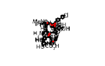 CN[C@H](CC(C)C)C(=O)N[C@H]1C(=O)N[C@@H](CCC(N)=O)C(=O)N[C@H]2CN[C@H]3C(=O)N[C@H](C(=O)N[C@H](C(=O)O)C4=CC(O)CC(O)=C4C4CC3=CC=C4O)[C@H](O)C3=CC=C(Oc4cc2cc(c4O[C@H]2OC(CO)C(O)[C@H](O)C2O[C@H]2CC(C)(NCc4ccc(-c5ccc(Cl)cc5)cc4)[C@H](O)C(C)O2)OC2=C(Cl)C=C(CC2)[C@H]1O)C(Cl)C3